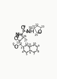 COC(c1ccc2ccccc2c1)c1onc(C(=O)NCC2CCOC2)c1C